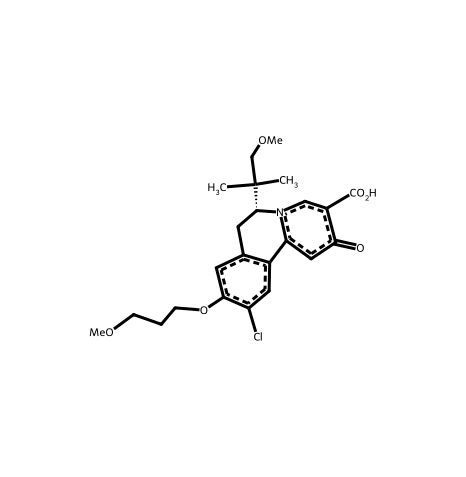 COCCCOc1cc2c(cc1Cl)-c1cc(=O)c(C(=O)O)cn1[C@@H](C(C)(C)COC)C2